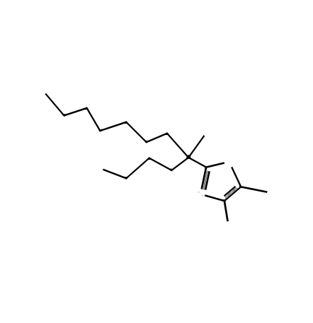 CCCCCCCC(C)(CCCC)c1nc(Cl)c(C)o1